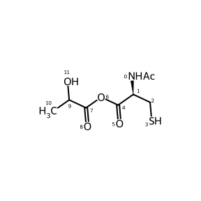 CC(=O)N[C@@H](CS)C(=O)OC(=O)C(C)O